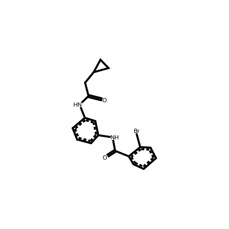 O=C(CC1CC1)Nc1cccc(NC(=O)c2ccccc2Br)c1